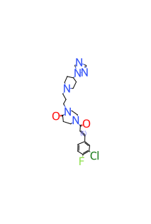 O=C(/C=C/c1ccc(F)c(Cl)c1)N1CCC(=O)N(CCCN2CCC(n3cncn3)CC2)CC1